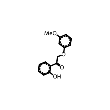 COc1cccc(OCC(=O)c2ccccc2O)c1